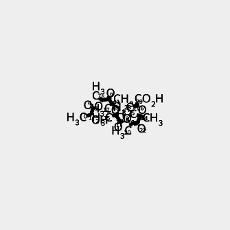 CC(O)C(=O)OC(C)C(=O)C(C)(C)OC(C)C(=O)OC(C)C(=O)C(C)(C)OC(C)C(=O)O